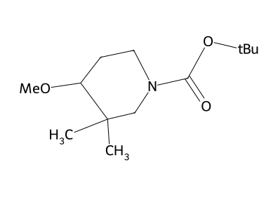 COC1CCN(C(=O)OC(C)(C)C)CC1(C)C